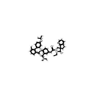 CCOC(=O)C1(COC(=O)Cc2ccc(NC(=O)c3cccc(C)c3-c3ccc(OC(C)C)cc3)c(C(=O)N(C)C)c2)CCc2cccnc21